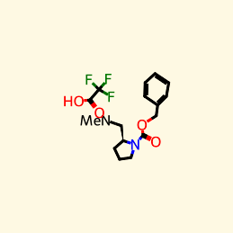 CNC[C@@H]1CCCN1C(=O)OCc1ccccc1.O=C(O)C(F)(F)F